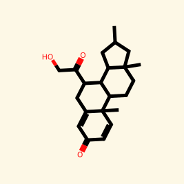 CC1CC2C3C(C(=O)CO)CC4=CC(=O)C=CC4(C)C3CCC2(C)C1